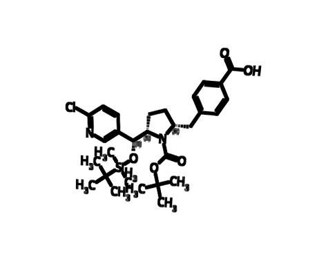 CC(C)(C)OC(=O)N1[C@@H](Cc2ccc(C(=O)O)cc2)CC[C@H]1[C@H](O[Si](C)(C)C(C)(C)C)c1ccc(Cl)nc1